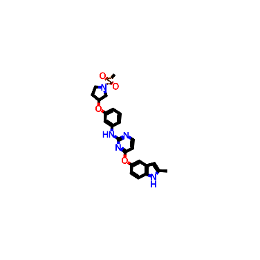 Cc1cc2cc(Oc3ccnc(Nc4cccc(OC5CCN(S(C)(=O)=O)C5)c4)n3)ccc2[nH]1